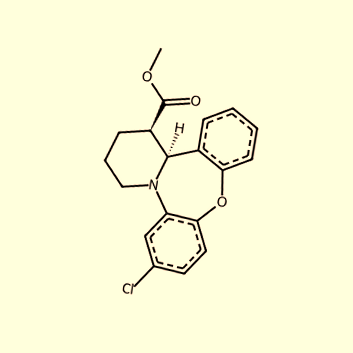 COC(=O)[C@@H]1CCCN2c3cc(Cl)ccc3Oc3ccccc3[C@H]12